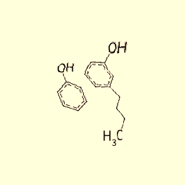 CCCCc1cccc(O)c1.Oc1ccccc1